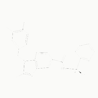 CC[C@@H](NC(=O)c1ccc2c(c1)nc(C(C)C)n2Cc1ccc(Cl)c(Cl)c1)c1ccccc1